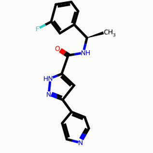 C[C@@H](NC(=O)c1cc(-c2ccncc2)n[nH]1)c1cccc(F)c1